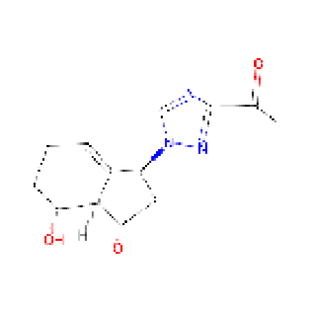 CC(=O)c1ncn([C@H]2C[C@H](O)[C@@H]3C2=CCC[C@H]3O)n1